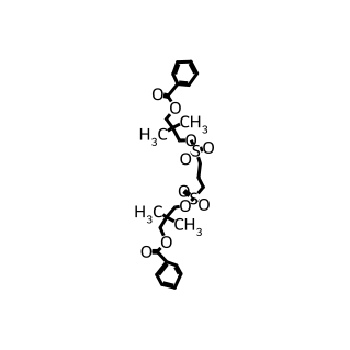 CC(C)(COC(=O)c1ccccc1)COS(=O)(=O)CCCS(=O)(=O)OCC(C)(C)COC(=O)c1ccccc1